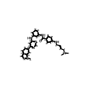 CN(C)C/C=C/CNc1ccc(C(=O)Nc2cccc(Nc3cc(-c4ccc5cnn(C)c5c4)ncn3)c2)cc1